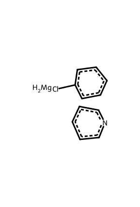 Clc1ccccc1.[MgH2].c1ccncc1